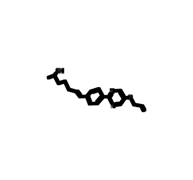 C=CCOc1cnc(-c2ccc(C=CCCCC(C)O)cc2)nc1